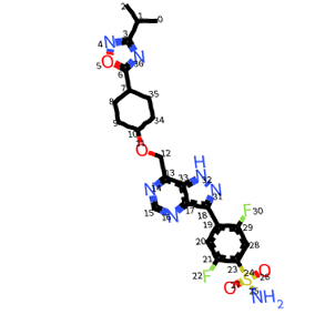 CC(C)c1noc(C2CCC(OCc3ncnc4c(-c5cc(F)c(S(N)(=O)=O)cc5F)n[nH]c34)CC2)n1